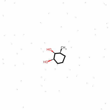 C[C@H]1CCC[C@@H](O)[C@H]1O